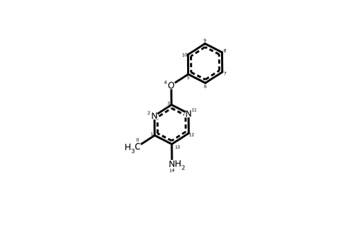 Cc1nc(Oc2ccccc2)ncc1N